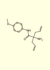 C=CCC(N)(CC=C)C(=O)Nc1ccc(OC)cc1